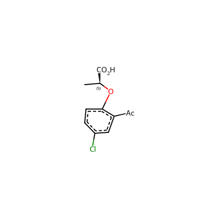 CC(=O)c1cc(Cl)ccc1O[C@@H](C)C(=O)O